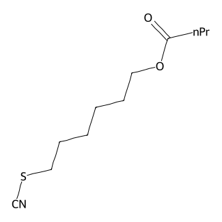 CCCC(=O)OCCCCCCSC#N